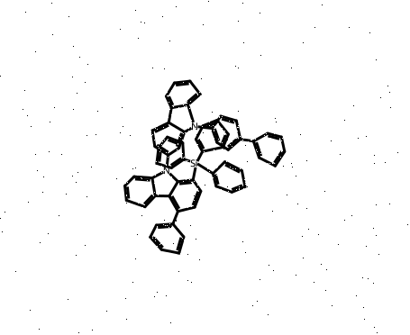 c1ccc(-c2ccc(-n3c4ccccc4c4ccc(-n5c6ccccc6c6c(-c7ccccc7)ccc([Si](c7ccccc7)(c7ccccc7)c7ccccc7)c65)cc43)cc2)cc1